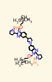 C[Si](C)(C)CCOCn1c(C2CCCN2P)nc2cc(C3CCN(c4ccc5c(c4)nc(C4CCCN4P)n5COCC[Si](C)(C)C)C3)ccc21